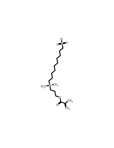 C=C(C)C(=O)OCCC[N+](C)(C)CCCCCCCCCCS(=O)(=O)[O-]